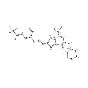 C=C/C(=C\C=C(/C)C(C)(C)C)CSCc1nc2nc(CN3CCOCC3)cc(N(C)C)n2n1